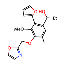 CCC(O)c1cc(C)c(OCc2ncco2)c(OC)c1-c1ccco1